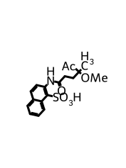 COC(C)(CCC(=O)Nc1ccc2ccccc2c1S(=O)(=O)O)C(C)=O